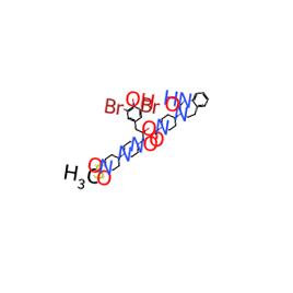 CS(=O)(=O)N1CCC(N2CCN(C(=O)C(Cc3cc(Br)c(O)c(Br)c3)OC(=O)N3CCC(N4CCc5ccccc5NC4=O)CC3)CC2)CC1